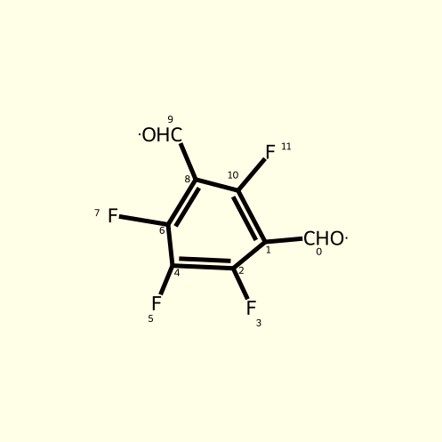 O=[C]c1c(F)c(F)c(F)c([C]=O)c1F